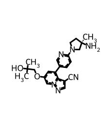 CC(C)(O)COc1cc(-c2ccc(N3CC[C@@](C)(N)C3)nc2)c2c(C#N)cnn2c1